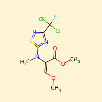 COC=C(C(=O)OC)N(C)c1nc(C(F)(Cl)Cl)ns1